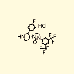 Cl.O=C1N(c2cc(C(F)(F)F)cc(C(F)(F)F)c2)CCN1[C@@H]1CCNC[C@H]1c1ccc(F)cc1